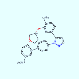 COc1ccc(-c2ccnn2-c2ccc(-c3cccc(NC(C)=O)c3)cc2)cc1O[C@@H]1CCOC1